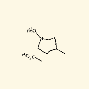 CC(=O)O.CCCCCCN1CCC(C)C1